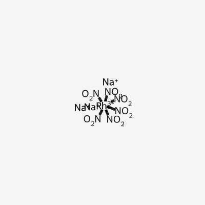 O=[N+]([O-])[Rh-3]([N+](=O)[O-])([N+](=O)[O-])([N+](=O)[O-])([N+](=O)[O-])[N+](=O)[O-].[Na+].[Na+].[Na+]